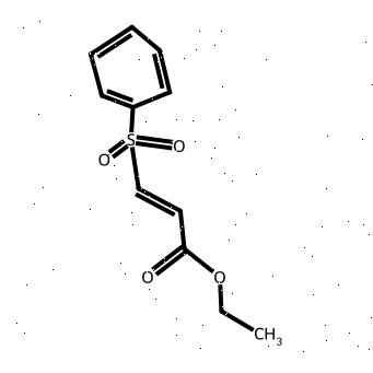 CCOC(=O)/C=C/S(=O)(=O)c1ccccc1